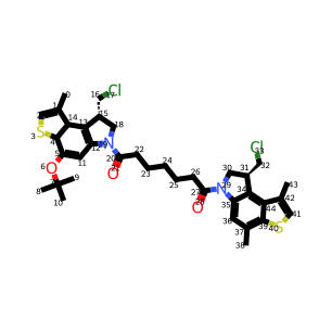 CC1=CSC2C(OC(C)(C)C)=CC3=C(C12)[C@H](CCl)CN3C(=O)CCCCCC(=O)N1C[C@@H](CCl)c2c1cc(C)c1scc(C)c21